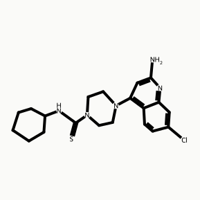 Nc1cc(N2CCN(C(=S)NC3CCCCC3)CC2)c2ccc(Cl)cc2n1